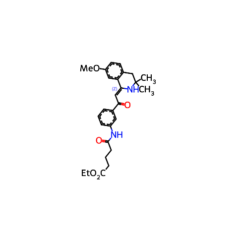 CCOC(=O)CCCC(=O)Nc1cccc(C(=O)/C=C2\NC(C)(C)Cc3ccc(OC)cc32)c1